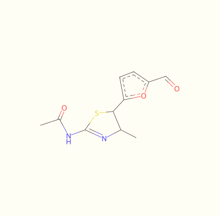 CC(=O)NC1=NC(C)C(c2ccc(C=O)o2)S1